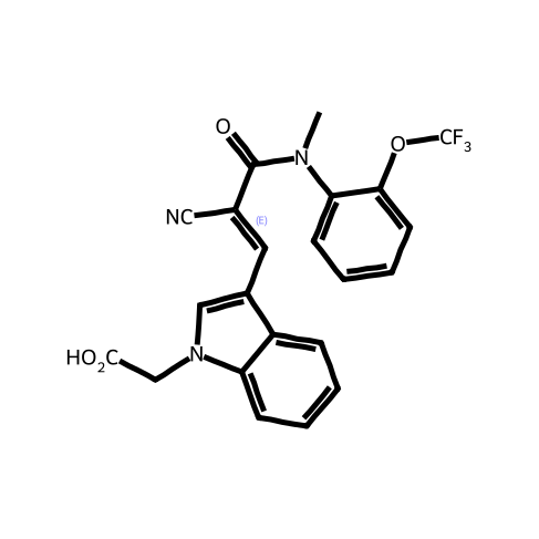 CN(C(=O)/C(C#N)=C/c1cn(CC(=O)O)c2ccccc12)c1ccccc1OC(F)(F)F